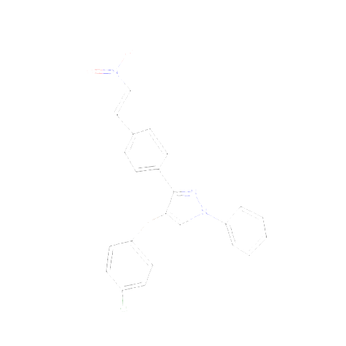 O=[N+]([O-])C=Cc1ccc(-c2nn(-c3ccccc3)cc2Sc2ccc(Cl)cc2)cc1